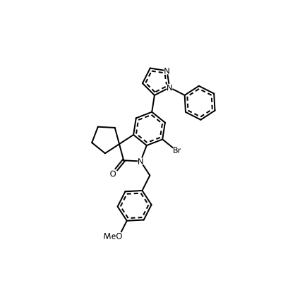 COc1ccc(CN2C(=O)C3(CCCC3)c3cc(-c4ccnn4-c4ccccc4)cc(Br)c32)cc1